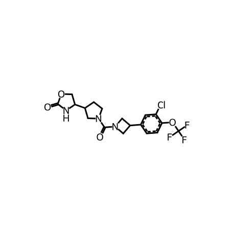 O=C1NC(C2CCN(C(=O)N3CC(c4ccc(OC(F)(F)F)c(Cl)c4)C3)C2)CO1